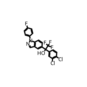 OC(c1ccc(Cl)c(Cl)c1)(c1ccc2c(cnn2-c2ccc(F)cc2)c1)C(F)(F)F